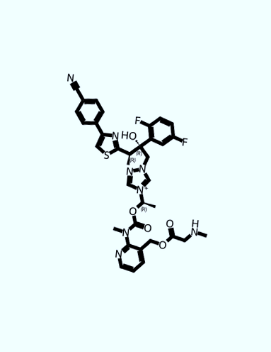 CNCC(=O)OCc1cccnc1N(C)C(=O)O[C@H](C)[n+]1cnn(C[C@](O)(c2cc(F)ccc2F)[C@@H](C)c2nc(-c3ccc(C#N)cc3)cs2)c1